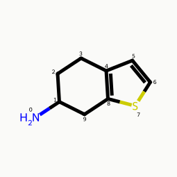 NC1CCc2ccsc2C1